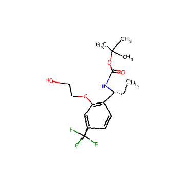 CC[C@@H](NC(=O)OC(C)(C)C)c1ccc(C(F)(F)F)cc1OCCO